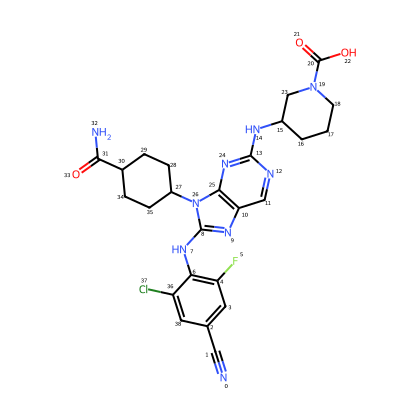 N#Cc1cc(F)c(Nc2nc3cnc(NC4CCCN(C(=O)O)C4)nc3n2C2CCC(C(N)=O)CC2)c(Cl)c1